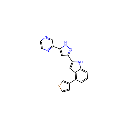 c1cc(-c2ccsc2)c2cc(-c3cc(-c4cnccn4)[nH]n3)[nH]c2c1